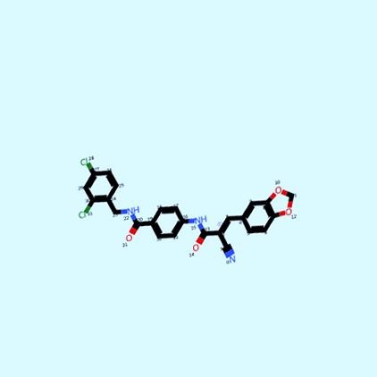 N#C/C(=C\c1ccc2c(c1)OCO2)C(=O)Nc1ccc(C(=O)NCc2ccc(Cl)cc2Cl)cc1